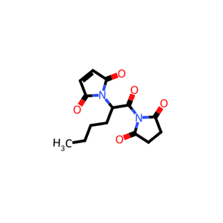 CCCCC(C(=O)N1C(=O)CCC1=O)N1C(=O)C=CC1=O